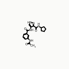 CC(=O)Nc1cccc(C(=O)Nc2c[nH]nc2C(=O)NC2CCCC2)c1